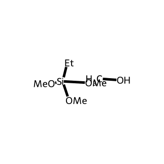 CC[Si](OC)(OC)OC.CO